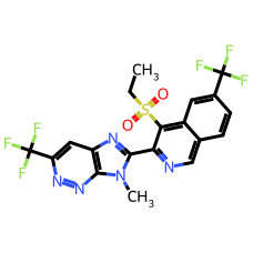 CCS(=O)(=O)c1c(-c2nc3cc(C(F)(F)F)nnc3n2C)ncc2ccc(C(F)(F)F)cc12